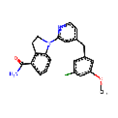 COc1cc(F)cc(Cc2ccnc(N3CCc4c(C(N)=O)cccc43)c2)c1